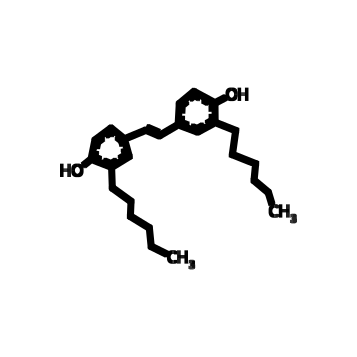 CCCCCCc1cc(C=Cc2ccc(O)c(CCCCCC)c2)ccc1O